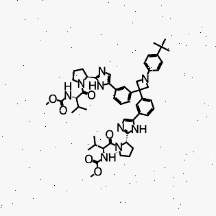 COC(=O)N[C@H](C(=O)N1CCC[C@H]1c1ncc(-c2cccc(C3(c4cccc(-c5cnc([C@@H]6CCCN6C(=O)[C@@H](NC(=O)OC)C(C)C)[nH]5)c4)CN(c4ccc(C(C)(C)C)cc4)C3)c2)[nH]1)C(C)C